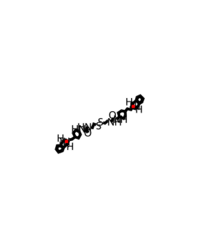 O=C(NCCSSCCNC(=O)NC1CCC(CCN2[C@@H]3CC[C@H]2c2ccccc23)CC1)NC1CCC(CCN2[C@@H]3CC[C@H]2c2ccccc23)CC1